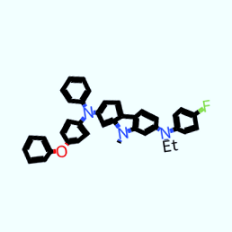 CCN(c1ccc(F)cc1)c1ccc2c3ccc(N(c4ccccc4)c4ccc(Oc5ccccc5)cc4)cc3n(C)c2c1